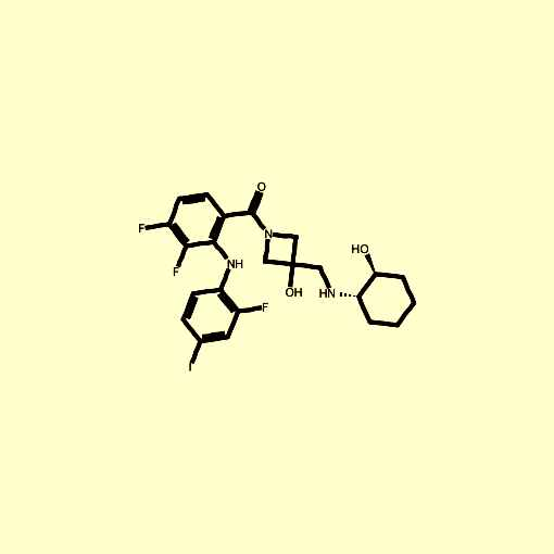 O=C(c1ccc(F)c(F)c1Nc1ccc(I)cc1F)N1CC(O)(CN[C@H]2CCCC[C@@H]2O)C1